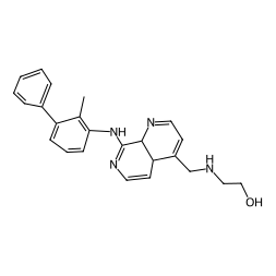 Cc1c(NC2=NC=CC3C(CNCCO)=CC=NC23)cccc1-c1ccccc1